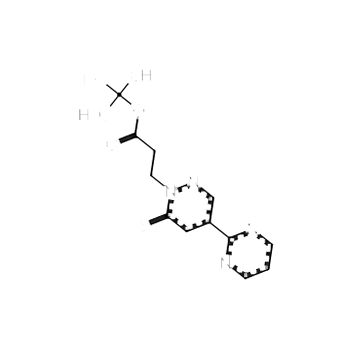 CC(C)(C)OC(=O)CCn1ncc(-c2ncccn2)cc1=S